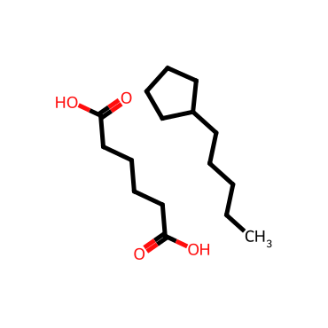 CCCCCC1CCCC1.O=C(O)CCCCC(=O)O